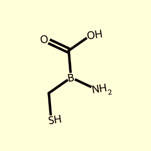 NB(CS)C(=O)O